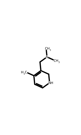 CC1=C(CN(C)C)CNC=C1